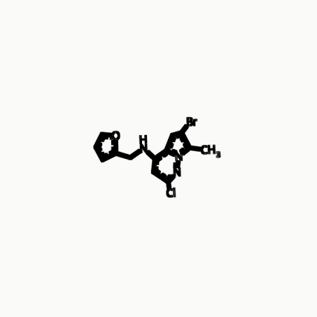 Cc1c(Br)cc2c(NCc3ccco3)cc(Cl)nn12